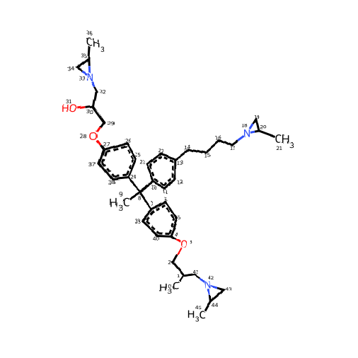 CC(COc1ccc(C(C)(c2ccc(CCCCN3CC3C)cc2)c2ccc(OCC(O)CN3CC3C)cc2)cc1)CN1CC1C